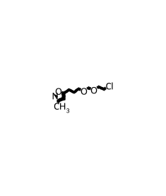 Cc1cc(CCCOCOCCCl)on1